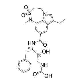 CCc1cn2c3c(cc(C(=O)N[C@@H](Cc4ccccc4)[C@H](O)CNC(=O)O)cc13)N(C)S(=O)(=O)CC2